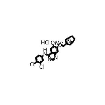 COc1cc2c(Nc3ccc(Cl)c(Cl)c3)ncnc2cc1OCC1CC2CCC(C1)N2C.Cl